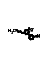 CCCCCc1cccc(-c2cccc(C#N)c2)c1.[Ag]